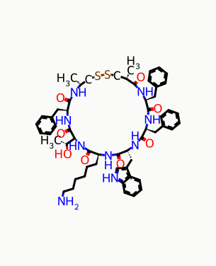 C[C@@H]1CSSC[C@H](C)C(=O)N[C@@H](Cc2ccccc2)C(=O)N[C@@H](Cc2ccccc2)C(=O)N[C@H](Cc2c[nH]c3ccccc23)C(=O)N[C@@H](CCCCCCN)C(=O)N[C@@H]([C@@H](C)O)C(=O)N[C@@H](Cc2ccccc2)C(=O)N1